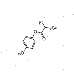 CCCCC(CC)C(=O)Oc1ccc(O)cc1